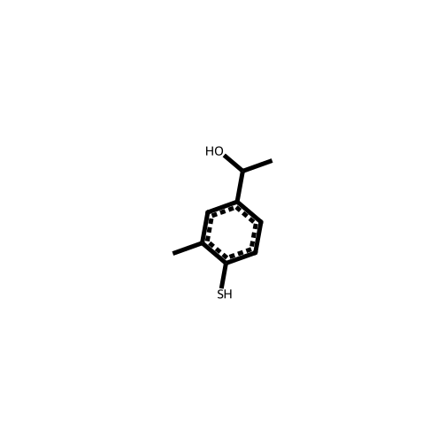 Cc1cc(C(C)O)ccc1S